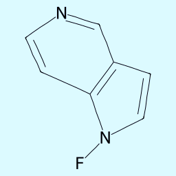 Fn1ccc2cnccc21